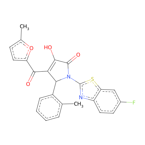 Cc1ccc(C(=O)C2=C(O)C(=O)N(c3nc4ccc(F)cc4s3)C2c2ccccc2C)o1